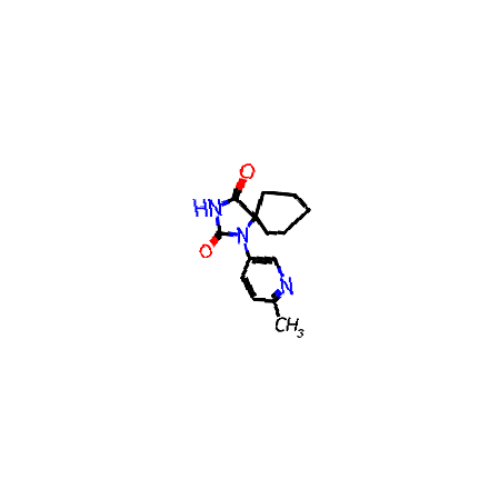 Cc1ccc(N2C(=O)NC(=O)C23CCCCC3)cn1